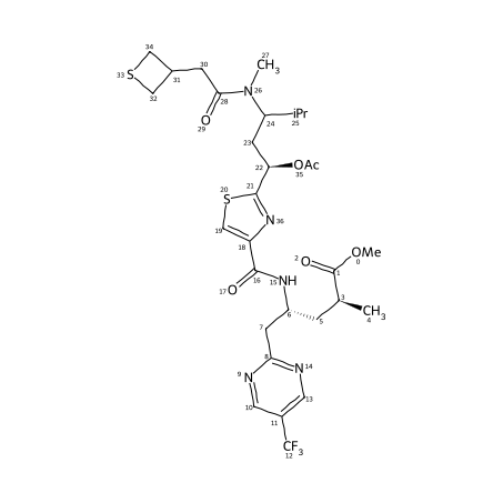 COC(=O)[C@@H](C)C[C@H](Cc1ncc(C(F)(F)F)cn1)NC(=O)c1csc([C@@H](CC(C(C)C)N(C)C(=O)CC2CSC2)OC(C)=O)n1